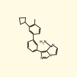 Cc1ccc(-c2cccc(-c3ncn4ccnc(N)c34)c2)cc1C1CCC1